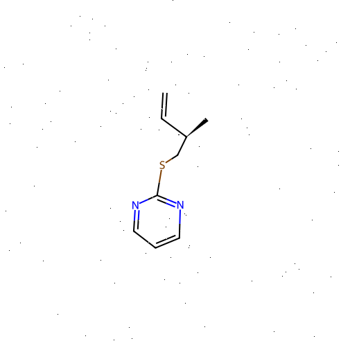 C=C[C@@H](C)CSc1ncccn1